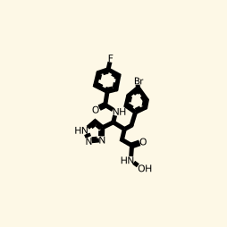 O=C(CC(Cc1ccc(Br)cc1)C(NC(=O)c1ccc(F)cc1)c1c[nH]nn1)NO